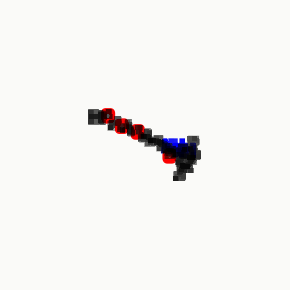 CCOCCOCCOCCCCCNC(=O)NC12CC(C)CC(CC(C)C1)C2